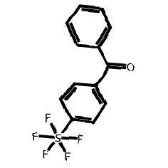 O=C(c1ccccc1)c1ccc(S(F)(F)(F)(F)F)cc1